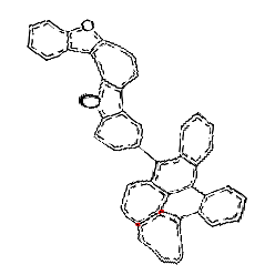 c1ccc(-c2ccccc2-c2c3ccccc3c(-c3ccc4oc5c(ccc6oc7ccccc7c65)c4c3)c3ccccc23)cc1